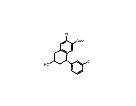 COc1cc2c(cc1Cl)C[C@H](O)C[C@@H]2c1cccc(Cl)c1